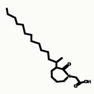 CCCCCCCCCCCCC(C)C1CCCCN(CC(=O)O)C1=O